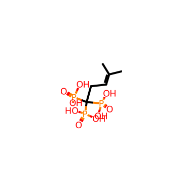 CC(C)=CCC(P(=O)(O)O)(P(=O)(O)O)P(=O)(O)O